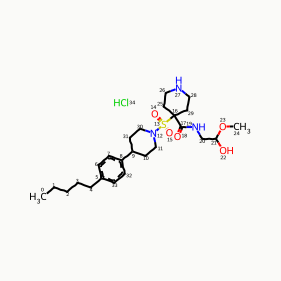 CCCCCc1ccc(C2CCN(S(=O)(=O)C3(C(=O)NCC(O)OC)CCNCC3)CC2)cc1.Cl